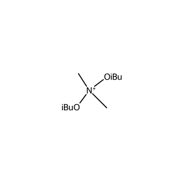 CC(C)CO[N+](C)(C)OCC(C)C